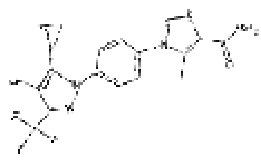 CC1=C(C(N)=O)SCN1c1ccc(-n2nc(C(F)(F)F)c(Cl)c2C2CC2)cc1